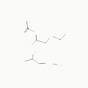 CC(O)CO.CCOCC(C)OC(C)=O.CO